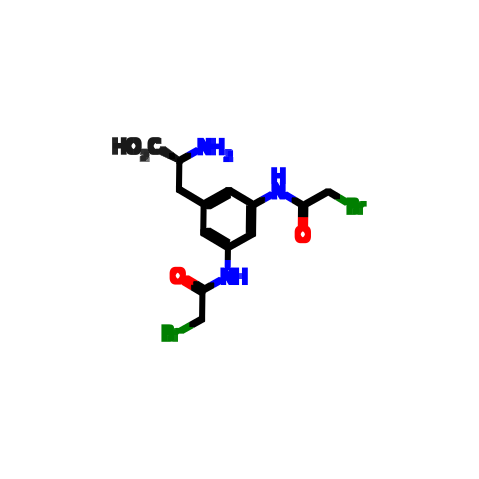 N[C@@H](Cc1cc(NC(=O)CBr)cc(NC(=O)CBr)c1)C(=O)O